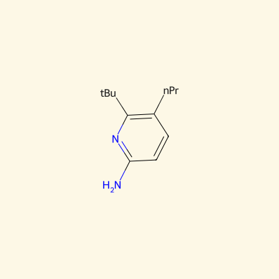 CCCc1ccc(N)nc1C(C)(C)C